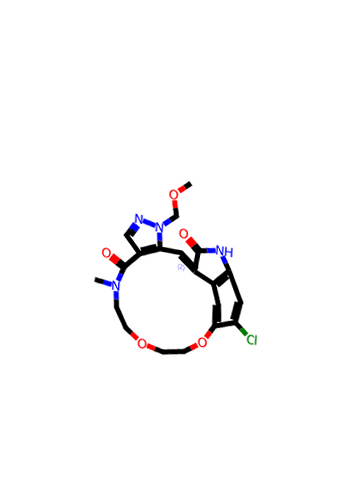 COCn1ncc2c1/C=C1\C(=O)Nc3cc(Cl)c(cc31)OCCOCCN(C)C2=O